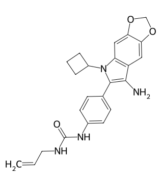 C=CCNC(=O)Nc1ccc(-c2c(N)c3cc4c(cc3n2C2CCC2)OCO4)cc1